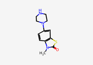 Cn1c(=O)sc2cc(N3CCNCC3)ccc21